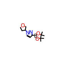 CC1(C)OB(c2ccn(C3CCOC3)n2)OC1(C)C